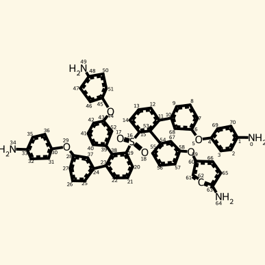 Nc1ccc(Oc2cccc(-c3cccc(S(=O)(=O)c4cccc(-c5cccc(Oc6ccc(N)cc6)c5)c4-c4cccc(Oc5ccc(N)cc5)c4)c3-c3cccc(Oc4ccc(N)cc4)c3)c2)cc1